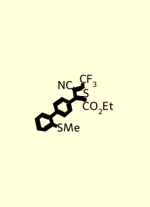 CCOC(=O)c1sc(C(F)(F)F)c(C#N)c1-c1ccc(-c2ccccc2SC)cc1